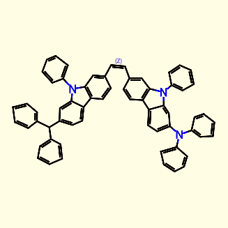 C(=C/c1ccc2c3ccc(N(c4ccccc4)c4ccccc4)cc3n(-c3ccccc3)c2c1)/c1ccc2c3ccc(C(c4ccccc4)c4ccccc4)cc3n(-c3ccccc3)c2c1